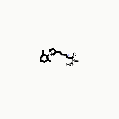 Cc1cccc(C)c1-n1ccc(C=C/C=C/C(=O)N(C)O)c1